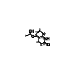 CC(O)Oc1ccnc2c1CCC(=O)N2